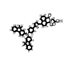 CC1(C)c2ccccc2-c2ccc(N(c3ccc(-c4ccc(-c5ccc6c7c(cccc57)C(=O)N(CC(=O)O)C6=O)s4)cc3)c3ccc4c(c3)C(C)(C)c3ccccc3-4)cc21